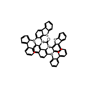 O=C1N2c3c(ccc4c3sc3ccccc34)B(c3ccccc3-c3ccccc3)c3ccc4ccc5c(c4c32)N1c1c(ccc2c1sc1ccccc12)B5c1ccccc1-c1ccccc1